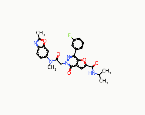 Cc1nc2ccc(N(C)C(=O)Cn3nc(-c4cccc(F)c4)c4oc(C(=O)NC(C)C)cc4c3=O)cc2o1